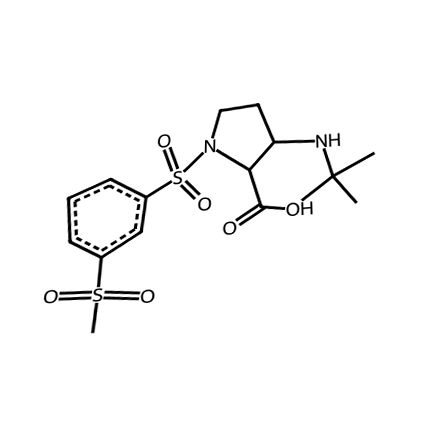 CC(C)(C)NC1CCN(S(=O)(=O)c2cccc(S(C)(=O)=O)c2)C1C(=O)O